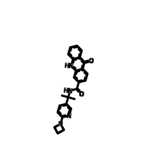 CC(C)(NC(=O)c1ccc2c(=O)c3ccccc3[nH]c2c1)c1ccc(N2CCC2)nc1